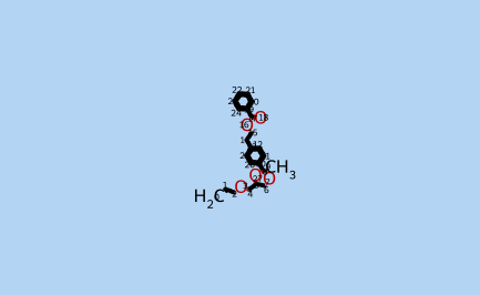 C=CCOCC1COC(C)(c2ccc(CCOC(=O)c3ccccc3)cc2)O1